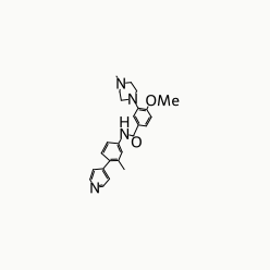 COc1ccc(C(=O)Nc2ccc(-c3ccncc3)c(C)c2)cc1N1CCN(C)CC1